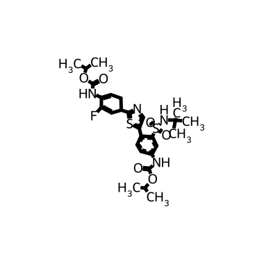 CC(C)OC(=O)NC1=CCC(c2ncc(-c3ccc(NC(=O)OC(C)C)cc3S(=O)(=O)NC(C)(C)C)s2)C=C1F